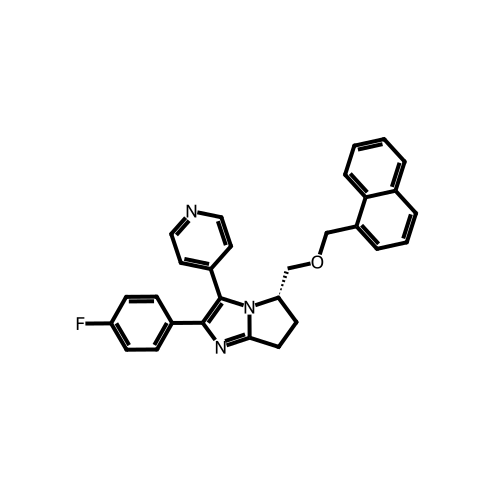 Fc1ccc(-c2nc3n(c2-c2ccncc2)[C@H](COCc2cccc4ccccc24)CC3)cc1